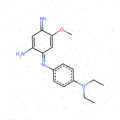 CCN(CC)c1ccc(N=C2C=C(OC)C(=N)C=C2N)cc1